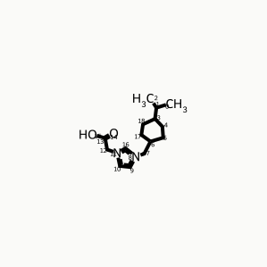 CC(C)C1CCC(C[n+]2ccn(CC(=O)O)c2)CC1